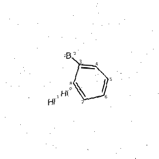 I.I.[B]c1ccccc1